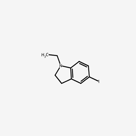 CCN1CCc2cc(I)ccc21